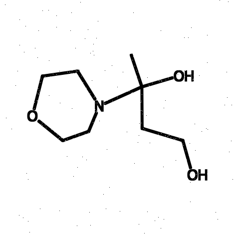 CC(O)(CCO)N1CCOCC1